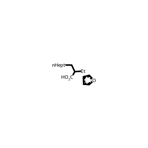 CCCCCCCCC(CC)C(=O)O.c1ccoc1